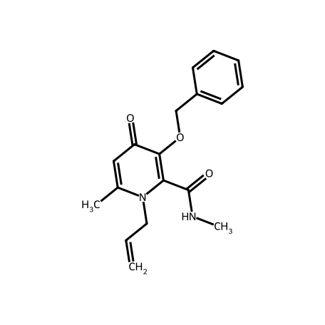 C=CCn1c(C)cc(=O)c(OCc2ccccc2)c1C(=O)NC